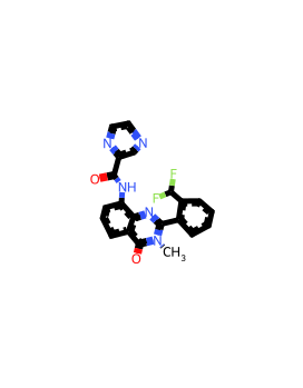 Cn1c(-c2ccccc2C(F)F)nc2c(NC(=O)c3cnccn3)cccc2c1=O